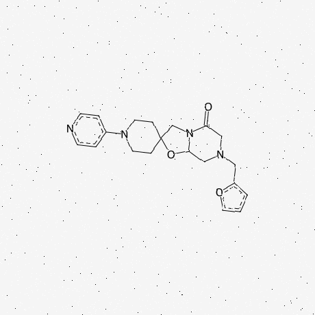 O=C1CN(Cc2ccco2)CC2OC3(CCN(c4ccncc4)CC3)CN12